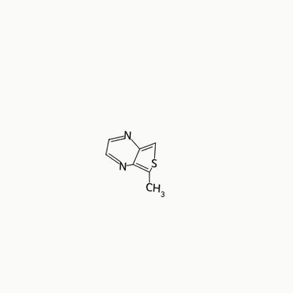 Cc1scc2nccnc12